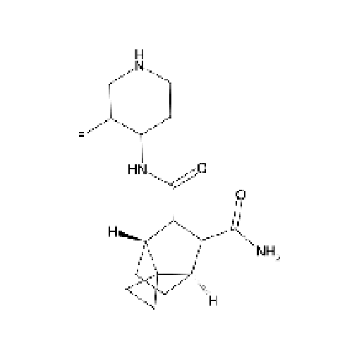 NC(=O)C1C(C(=O)NC2CCNCC2F)[C@H]2CC[C@H]1C21CC1